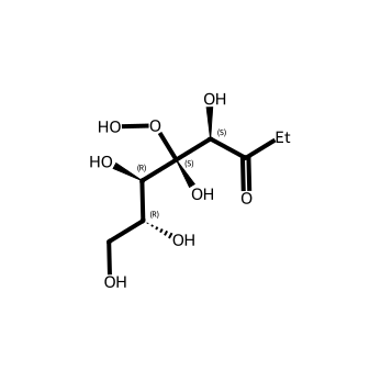 CCC(=O)[C@H](O)[C@@](O)(OO)[C@H](O)[C@H](O)CO